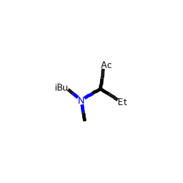 CCC(C)N(C)C(CC)C(C)=O